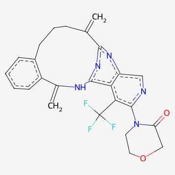 C=C1CCCc2ccccc2C(=C)Nc2nc1nc1cnc(N3CCOCC3=O)c(C(F)(F)F)c21